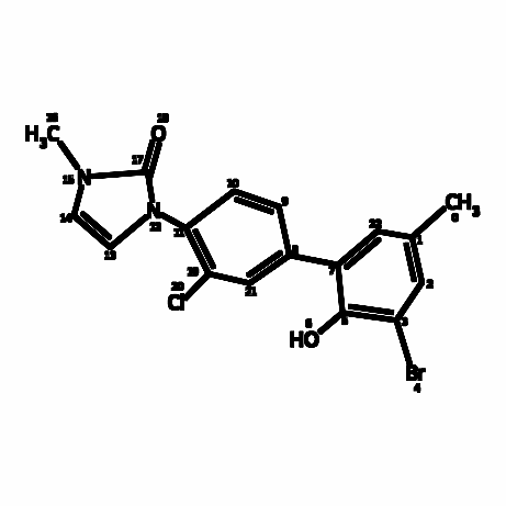 Cc1cc(Br)c(O)c(-c2ccc(-n3ccn(C)c3=O)c(Cl)c2)c1